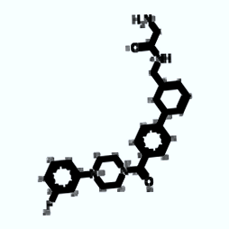 NCC(=O)NCC1=CC=CC(c2ccc(C(=O)N3CCN(c4cccc(F)c4)CC3)cc2)C1